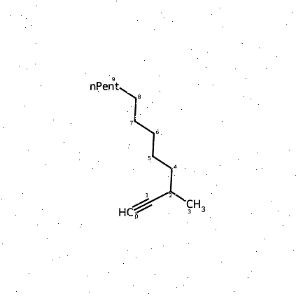 C#CC(C)CCCCCCCCCC